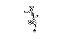 COc1cc(S(C)(=O)=O)ccc1NCC#Cc1nc2c(N[C@@H]3CCN(C)C[C@@H]3F)cc(NC(=O)/C=C/CN3CC(F)(F)C3)cn2c1CC(F)(F)F